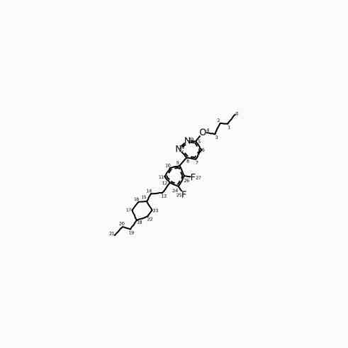 CCCCOc1ccc(-c2ccc(CCC3CCC(CCC)CC3)c(F)c2F)nn1